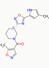 Cc1c[nH]c(-c2nc([C@H]3CCCN(C(=O)c4cnoc4C)C3)no2)c1